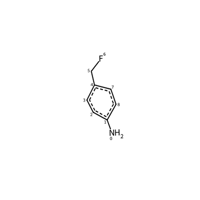 Nc1ccc(CF)cc1